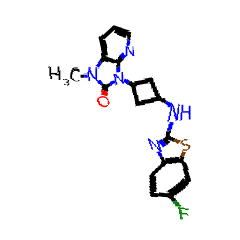 Cn1c(=O)n(C2CC(Nc3nc4ccc(F)cc4s3)C2)c2ncccc21